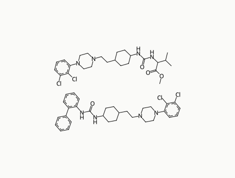 COC(=O)C(NC(=O)NC1CCC(CCN2CCN(c3cccc(Cl)c3Cl)CC2)CC1)C(C)C.O=C(Nc1ccccc1-c1ccccc1)NC1CCC(CCN2CCN(c3cccc(Cl)c3Cl)CC2)CC1